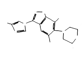 C[C@@H]1CN(c2c(C=O)cc3c(-n4cnc(C(F)(F)F)c4)noc3c2F)C[C@H](C)O1